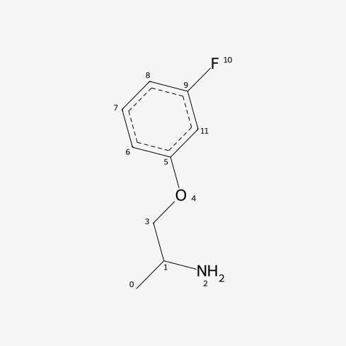 CC(N)COc1cccc(F)c1